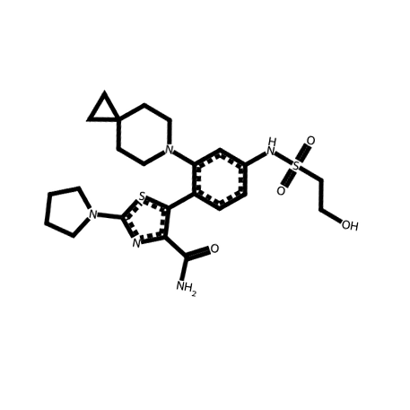 NC(=O)c1nc(N2CCCC2)sc1-c1ccc(NS(=O)(=O)CCO)cc1N1CCC2(CC1)CC2